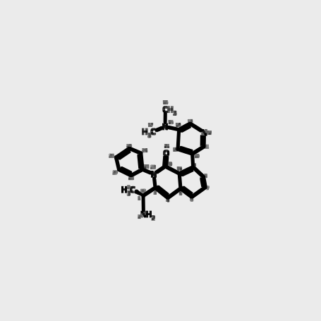 C[C@H](N)c1cc2cccc(-c3cncc(N(C)C)c3)c2c(=O)n1-c1ccccc1